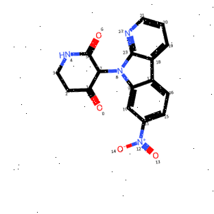 O=C1CCNC(=O)C1n1c2cc([N+](=O)[O-])ccc2c2cccnc21